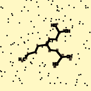 CCCCN(CCC(O)O)CCC(O)O